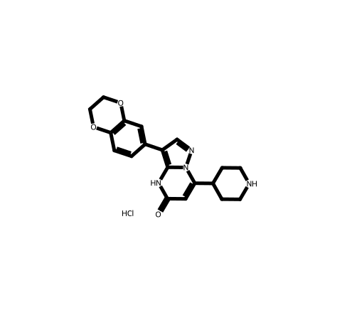 Cl.O=c1cc(C2CCNCC2)n2ncc(-c3ccc4c(c3)OCCO4)c2[nH]1